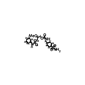 COC(COC(=O)NCc1ccc(S(N)(=O)=O)cc1)COC(=O)N(C)c1ccccn1